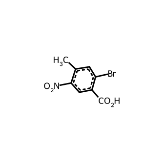 Cc1cc(Br)c(C(=O)O)cc1[N+](=O)[O-]